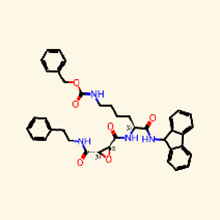 O=C(NCCCC[C@H](NC(=O)[C@H]1O[C@@H]1C(=O)NCCc1ccccc1)C(=O)NC1c2ccccc2-c2ccccc21)OCc1ccccc1